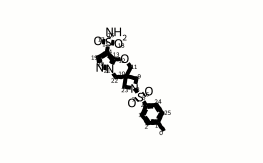 Cc1ccc(S(=O)(=O)N2CC3(COc4c(S(N)(=O)=O)cnn4C3)C2)cc1